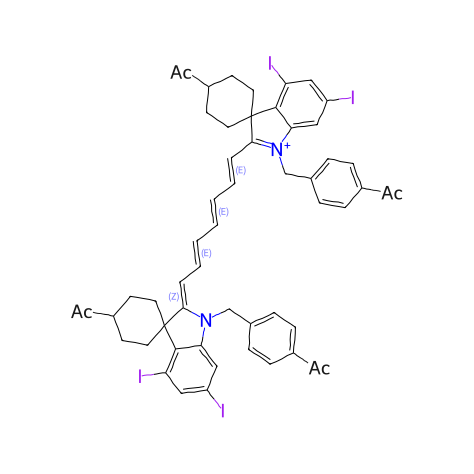 CC(=O)c1ccc(CN2\C(=C/C=C/C=C/C=C/C3=[N+](Cc4ccc(C(C)=O)cc4)c4cc(I)cc(I)c4C34CCC(C(C)=O)CC4)C3(CCC(C(C)=O)CC3)c3c(I)cc(I)cc32)cc1